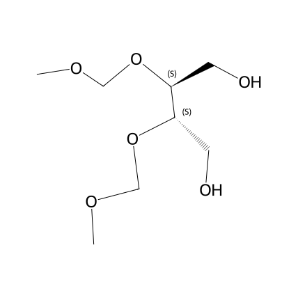 COCO[C@@H](CO)[C@H](CO)OCOC